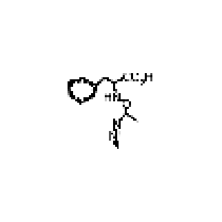 CC(N=[N+]=[N-])ONC(Cc1ccccc1)C(=O)O